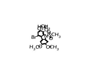 COc1cc2c3c(Br)cc(OC)c(OC)c3n(S(C)(=O)=O)c2cc1OC